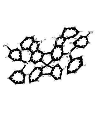 CC(C)c1ccc(N(c2ccccc2)c2cc3c(c4oc5ccccc5c24)-c2c(cc(N(c4ccccc4)c4ccc(C(C)C)cc4)c4c2oc2ccccc24)C32c3ccccc3-c3ccccc32)cc1